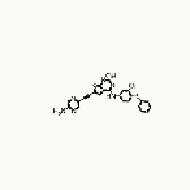 Cl.Nc1cnc(C#Cc2cc3c(Nc4ccc(Sc5ccccc5)c(Cl)c4)ncnc3s2)cn1